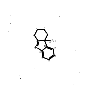 CCC(C)C12CCCCC1=Nc1ccccc12